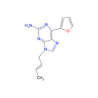 CC=CCn1cnc2c(-c3ccco3)nc(N)nc21